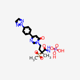 C[C@@](CCn1cnc(-c2ccc(-n3nccn3)cc2)cc1=O)(C(=O)NOP(=O)(O)O)S(C)(=O)=O